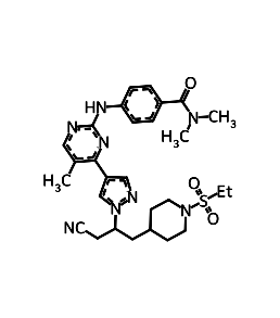 CCS(=O)(=O)N1CCC(CC(CC#N)n2cc(-c3nc(Nc4ccc(C(=O)N(C)C)cc4)ncc3C)cn2)CC1